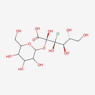 O=C(O)[C@@](O)(OC1OC(CO)C(O)C(O)C1O)[C@](O)(Cl)[C@H](O)[C@H](O)CO